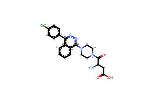 NC(CC(=O)O)C(=O)N1CCN(c2nnc(-c3ccc(Cl)cc3)c3ccccc23)CC1